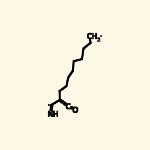 [CH2]CCCCCCCCC([C]=N)=C=O